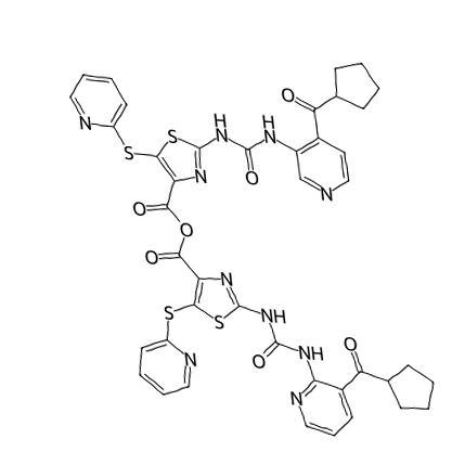 O=C(Nc1nc(C(=O)OC(=O)c2nc(NC(=O)Nc3ncccc3C(=O)C3CCCC3)sc2Sc2ccccn2)c(Sc2ccccn2)s1)Nc1cnccc1C(=O)C1CCCC1